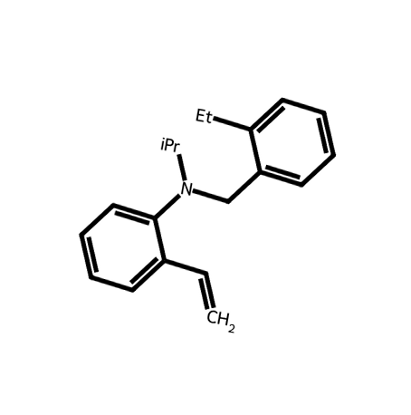 C=Cc1ccccc1N(Cc1ccccc1CC)C(C)C